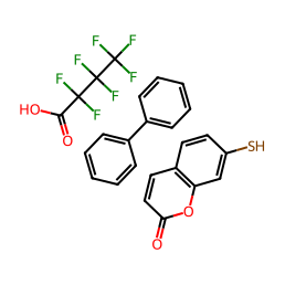 O=C(O)C(F)(F)C(F)(F)C(F)(F)F.O=c1ccc2ccc(S)cc2o1.c1ccc(-c2ccccc2)cc1